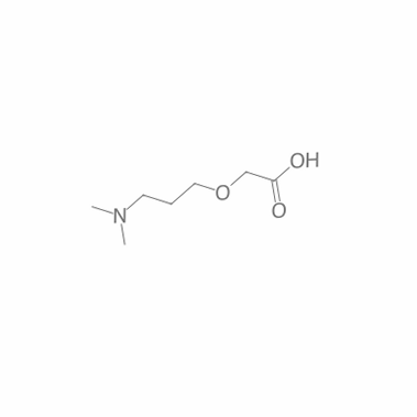 CN(C)CCCOCC(=O)O